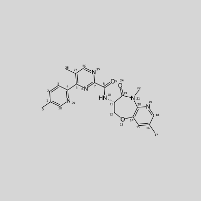 Cc1ccc(-c2nc(C(=O)N[C@H]3COc4cc(C)cnc4N(C)C3=O)ncc2C)nc1